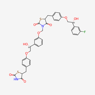 O=C1NC(=O)C(Cc2ccc(OC[C@H](O)c3cccc(OCN4C(=O)SC(Cc5ccc(OC[C@H](O)c6cccc(F)c6)cc5)C4=O)c3)cc2)S1